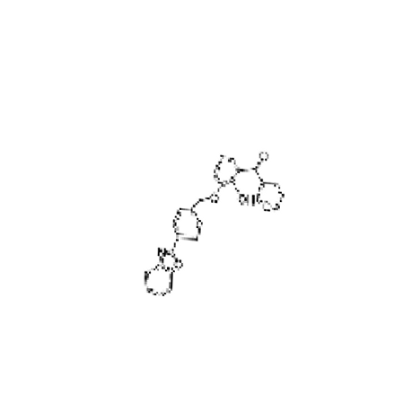 O=C(c1ccccc1)c1cccc(OCc2ccc(-c3nc4ccccc4o3)cc2)c1O